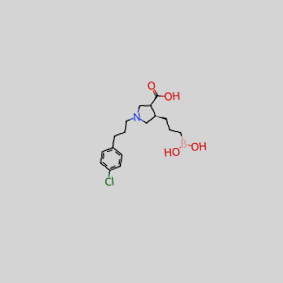 O=C(O)[C@@H]1CN(CCCc2ccc(Cl)cc2)C[C@@H]1CCCB(O)O